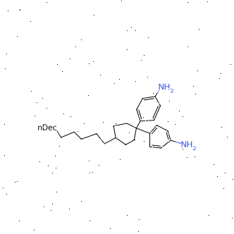 CCCCCCCCCCCCCCCC1CCC(c2ccc(N)cc2)(c2ccc(N)cc2)CC1